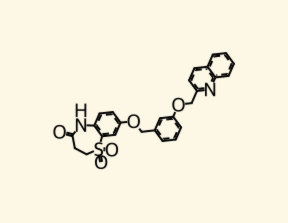 O=C1CCS(=O)(=O)c2cc(OCc3cccc(OCc4ccc5ccccc5n4)c3)ccc2N1